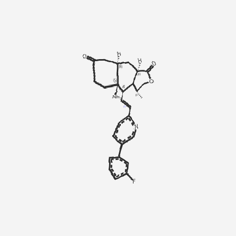 C[C@H]1OC(=O)[C@@H]2C[C@@H]3CC(=O)CC[C@@]3(N)[C@H](/C=C/c3ccc(-c4cccc(F)c4)cn3)C12